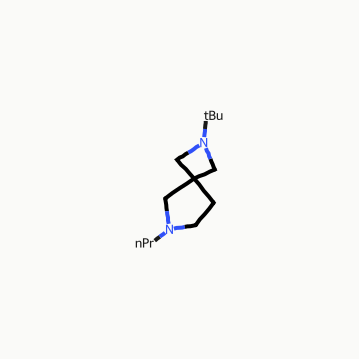 CCCN1CCC2(C1)CN(C(C)(C)C)C2